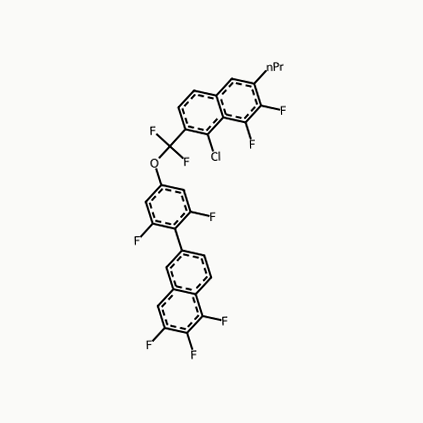 CCCc1cc2ccc(C(F)(F)Oc3cc(F)c(-c4ccc5c(F)c(F)c(F)cc5c4)c(F)c3)c(Cl)c2c(F)c1F